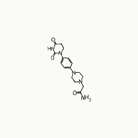 NC(=O)CN1CCN(c2ccc(N3CCC(=O)NC3=O)cc2)CC1